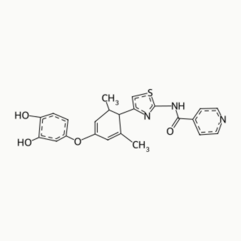 CC1=CC(Oc2ccc(O)c(O)c2)=CC(C)C1c1csc(NC(=O)c2ccncc2)n1